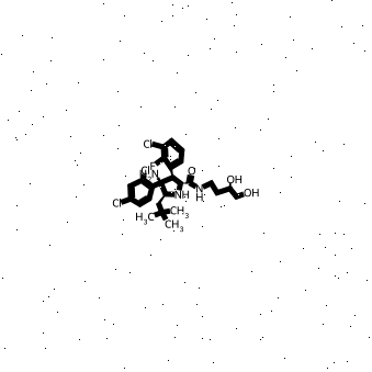 CC(C)(C)C[C@@H]1N[C@@H](C(=O)NCC[C@H](O)CO)[C@H](c2cccc(Cl)c2F)[C@@]1(N)c1ccc(Cl)cc1Cl